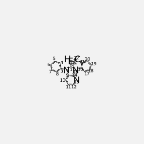 CCC1N(c2ccccc2)c2cccnc2N1c1ccccc1C